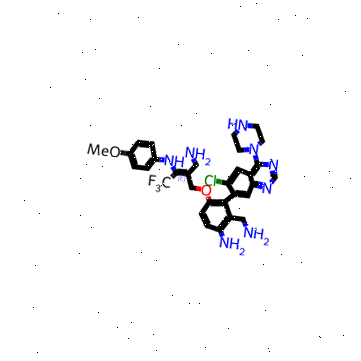 COc1ccc(N/C(=C(\CN)COc2ccc(N)c(CN)c2-c2cc3ncnc(N4CCNCC4)c3cc2Cl)C(F)(F)F)cc1